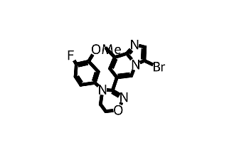 COc1cc(N2CCON=C2c2cc(C)c3ncc(Br)n3c2)ccc1F